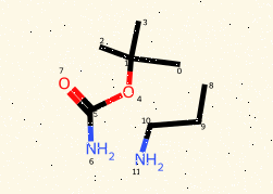 CC(C)(C)OC(N)=O.CCCN